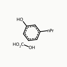 CCCc1cccc(O)c1.O=C(O)O